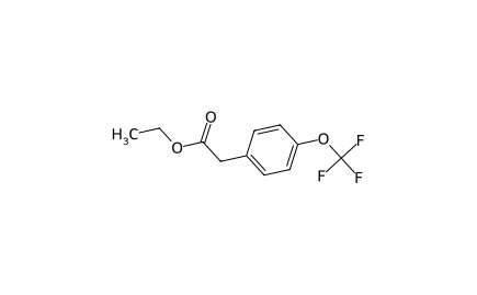 CCOC(=O)Cc1ccc(OC(F)(F)F)cc1